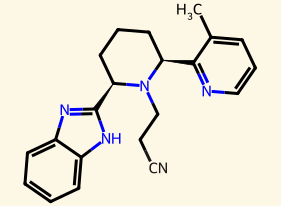 Cc1cccnc1[C@@H]1CCC[C@H](c2nc3ccccc3[nH]2)N1CCC#N